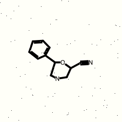 N#CC1C[N]CC(c2ccccc2)O1